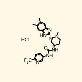 Cc1cc2nc([C@H]3C[C@H](NC(=O)Nc4ccc(C(F)(F)F)nc4)CCN3C)[nH]c2cc1C.Cl